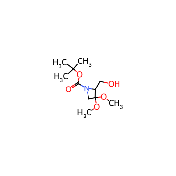 COC1(OC)CN(C(=O)OC(C)(C)C)C1CO